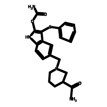 NC(=O)Oc1[nH]c2ccc(CN3CCCC(C(N)=O)C3)cc2c1Sc1ccccc1